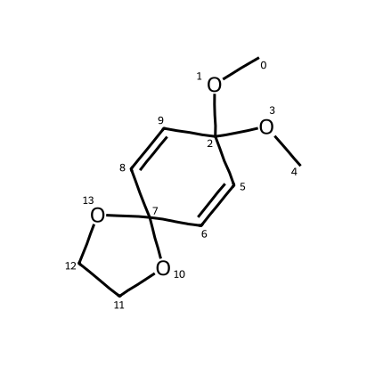 COC1(OC)C=CC2(C=C1)OCCO2